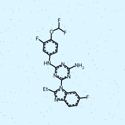 CCc1nc2ccc(F)cc2n1-c1nc(N)nc(Nc2ccc(OC(F)F)c(F)c2)n1